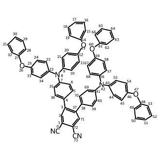 N#Cc1cc(-c2ccc(N(c3ccc(Oc4ccccc4)cc3)c3ccc(Oc4ccccc4)cc3)cc2)c(-c2ccc(N(c3ccc(Oc4ccccc4)cc3)c3ccc(Oc4ccccc4)cc3)cc2)cc1C#N